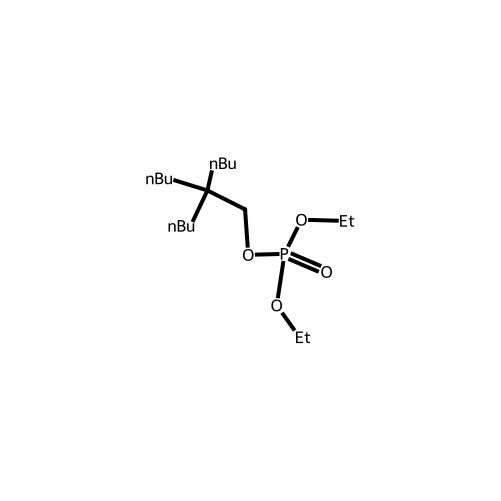 CCCCC(CCCC)(CCCC)COP(=O)(OCC)OCC